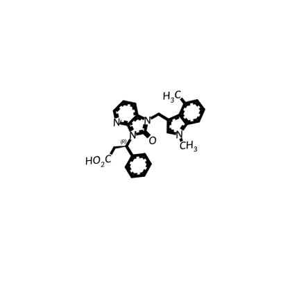 Cc1cccc2c1c(Cn1c(=O)n([C@H](CC(=O)O)c3ccccc3)c3ncccc31)cn2C